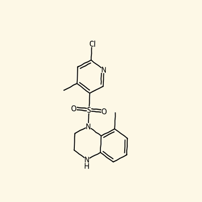 Cc1cc(Cl)ncc1S(=O)(=O)N1CCNc2cccc(C)c21